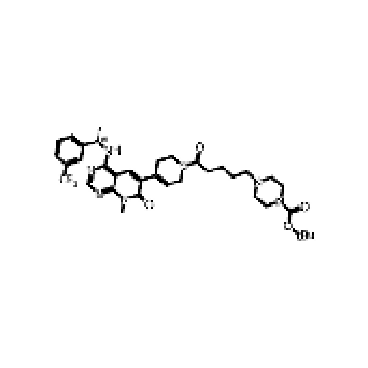 C[C@@H](Nc1ncnc2c1cc(C1=CCN(C(=O)CCCCN3CCN(C(=O)OC(C)(C)C)CC3)CC1)c(=O)n2C)c1cccc(C(F)(F)F)c1